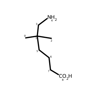 CC(C)(CN)CCCC(=O)O